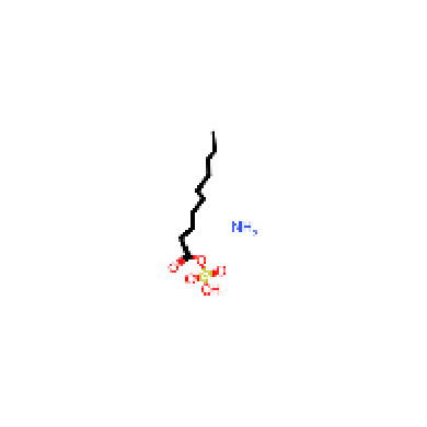 CCCCCCCCCC(=O)OS(=O)(=O)O.N